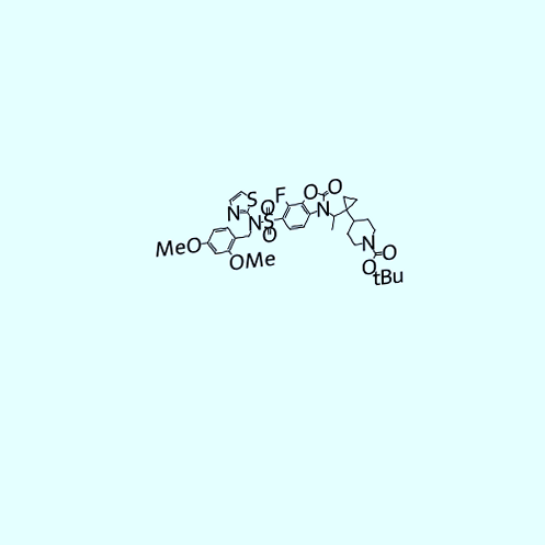 COc1ccc(CN(c2nccs2)S(=O)(=O)c2ccc3c(oc(=O)n3C(C)C3(C4CCN(C(=O)OC(C)(C)C)CC4)CC3)c2F)c(OC)c1